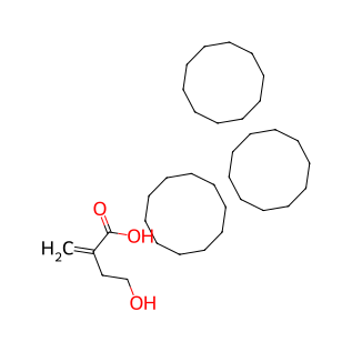 C1CCCCCCCCC1.C1CCCCCCCCC1.C1CCCCCCCCC1.C=C(CCO)C(=O)O